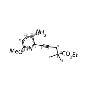 CCOC(=O)C(C)(C)CC#Cc1nc(OC)ccc1N